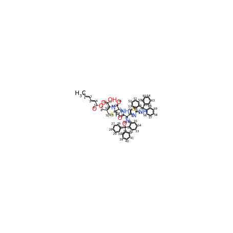 C/C=C/C=C/C(=O)OCC1=C(C(=O)O)N2C(=O)[C@@H](NC(=O)/C(=N\OC(c3ccccc3)(c3ccccc3)c3ccccc3)c3csc(NC(c4ccccc4)(c4ccccc4)c4ccccc4)n3)[C@H]2SC1